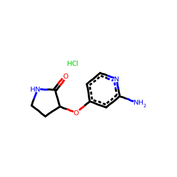 Cl.Nc1cc(OC2CCNC2=O)ccn1